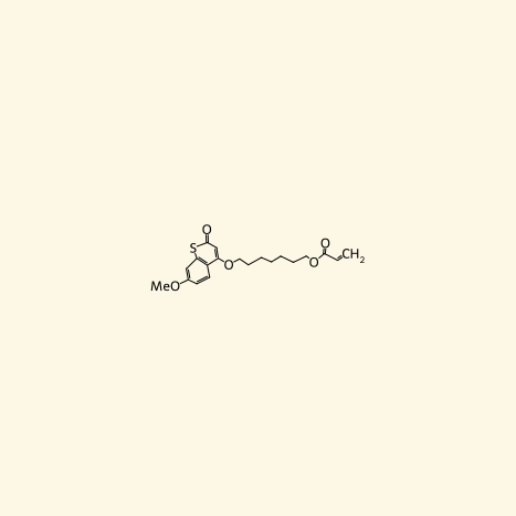 C=CC(=O)OCCCCCCCOc1cc(=O)sc2cc(OC)ccc12